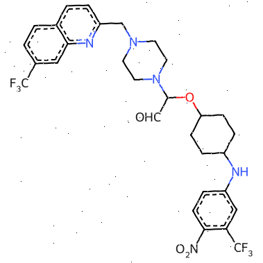 O=CC(OC1CCC(Nc2ccc([N+](=O)[O-])c(C(F)(F)F)c2)CC1)N1CCN(Cc2ccc3ccc(C(F)(F)F)cc3n2)CC1